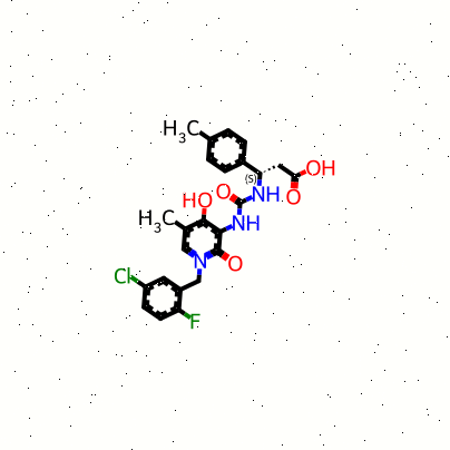 Cc1ccc([C@H](CC(=O)O)NC(=O)Nc2c(O)c(C)cn(Cc3cc(Cl)ccc3F)c2=O)cc1